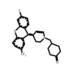 O=C1CCC(CN2C=CC(=C3c4ccc(F)cc4Sc4ccc(C(F)(F)F)cc43)CC2)CC1